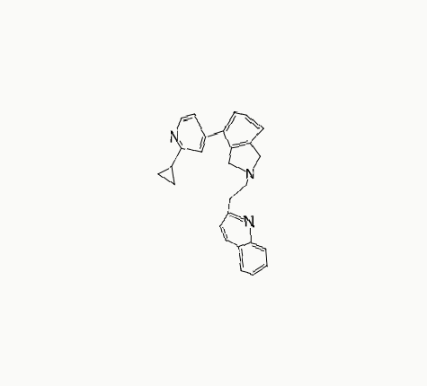 c1cc2c(c(-c3ccnc(C4CC4)c3)c1)CN(CCc1ccc3ccccc3n1)C2